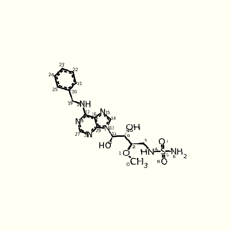 CO[C@H](CNS(N)(=O)=O)[C@@H](O)[C@@H](O)n1cnc2c(NCc3ccccc3)ncnc21